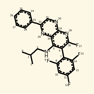 CC(C)CNc1c(-c2c(F)cc(F)cc2F)c(F)nc2ncc(-c3ccccc3)nc12